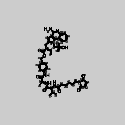 CCN(Cc1nc2c(N)nc3ccccc3c2n1CC(C)(C)O)C(=O)OCc1ccc(NC(=O)[C@H](C)NC(=O)C(NC(=O)CCCCCN2C(=O)C=CC2=O)C(C)C)cc1